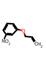 C=CCOc1[c]c([N+](=O)[O-])ccc1